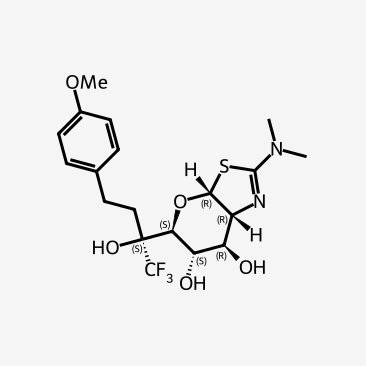 COc1ccc(CC[C@](O)([C@H]2O[C@@H]3SC(N(C)C)=N[C@@H]3[C@@H](O)[C@@H]2O)C(F)(F)F)cc1